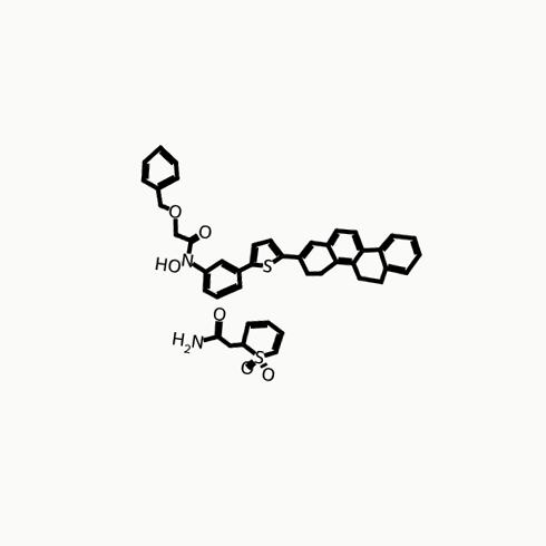 NC(=O)CC1C=CC=CS1(=O)=O.O=C(COCc1ccccc1)N(O)c1cccc(-c2ccc(C3=Cc4ccc5c(c4CC3)CCc3ccccc3-5)s2)c1